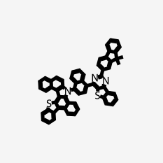 CC1(C)c2ccccc2-c2ccc(-c3nc(-c4ccc(-n5c6ccc7ccccc7c6c6c7sc8ccccc8c7c7ccccc7c65)c5ccccc45)c4sc5ccccc5c4n3)cc21